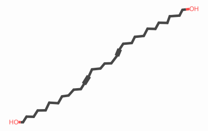 OCCCCCCCCCCCC#CCCCCC#CCCCCCCCCCCCO